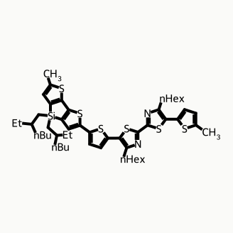 CCCCCCc1nc(-c2nc(CCCCCC)c(-c3ccc(-c4cc5c(s4)-c4sc(C)cc4[Si]5(CC(CC)CCCC)CC(CC)CCCC)s3)s2)sc1-c1ccc(C)s1